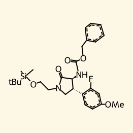 COc1ccc([C@@H]2CN(CCO[Si](C)(C)C(C)(C)C)C(=O)[C@H]2NC(=O)OCc2ccccc2)c(F)c1